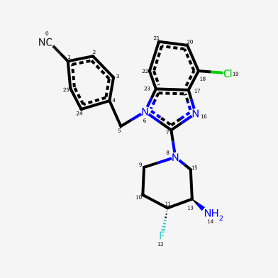 N#Cc1ccc(Cn2c(N3CC[C@@H](F)[C@H](N)C3)nc3c(Cl)cccc32)cc1